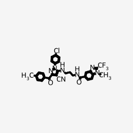 Cc1ccc(C(=O)c2nn(-c3ccc(Cl)cc3)c(NCCCNC(=O)c3ccc4c(c3)nc(C(F)(F)F)n4C)c2C#N)cc1